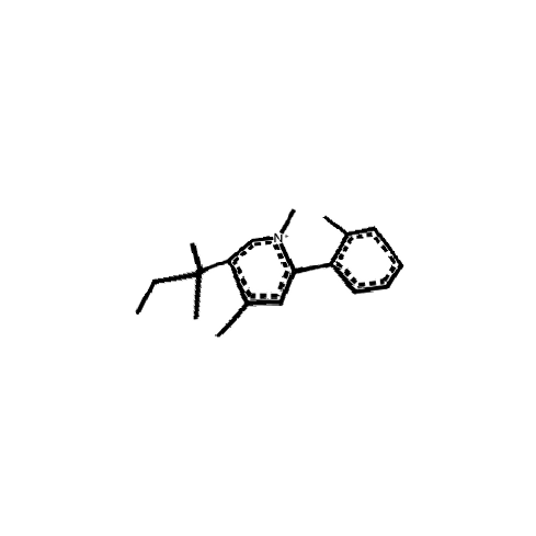 CCC(C)(C)c1c[n+](C)c(-c2ccccc2C)cc1C